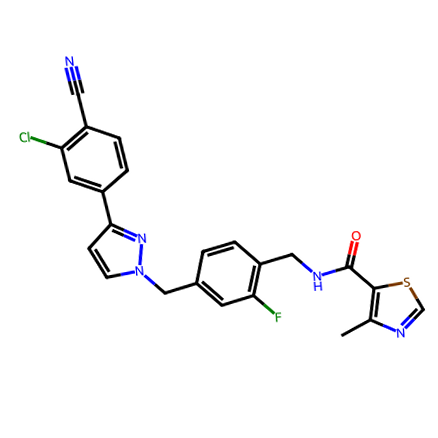 Cc1ncsc1C(=O)NCc1ccc(Cn2ccc(-c3ccc(C#N)c(Cl)c3)n2)cc1F